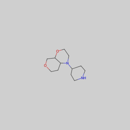 C1CC(N2CCOC3COCCC32)CCN1